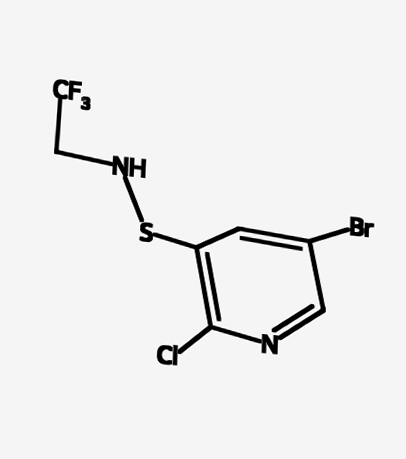 FC(F)(F)CNSc1cc(Br)cnc1Cl